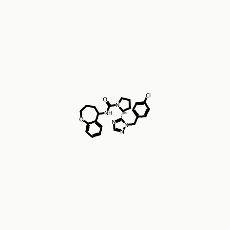 O=C(NC1CCCOc2ccccc21)N1CCC[C@@H]1c1ncnn1Cc1ccc(Cl)cc1